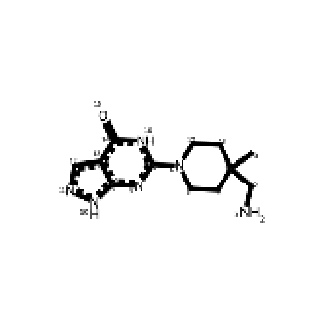 CC1(CN)CCN(c2nc3[nH]n[c]c3c(=O)[nH]2)CC1